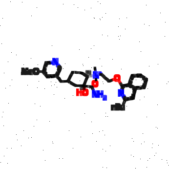 CCCCc1cc2ccccc2c(OCC[N+](C)(C)[C@H]2CCC(Cc3cncc(OC)c3)C[C@@]2(O)C(N)=O)n1